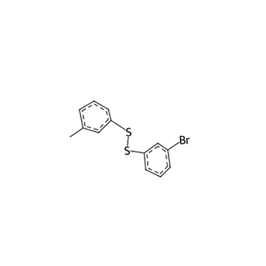 Cc1cccc(SSc2cccc(Br)c2)c1